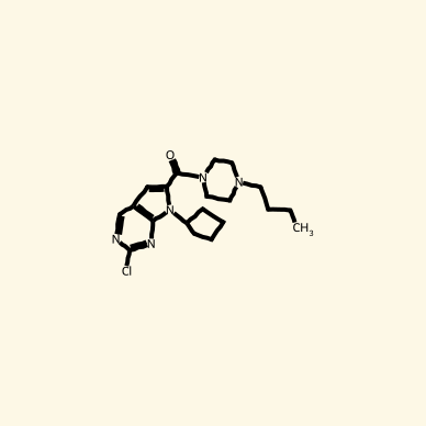 CCCCN1CCN(C(=O)c2cc3cnc(Cl)nc3n2C2CCCC2)CC1